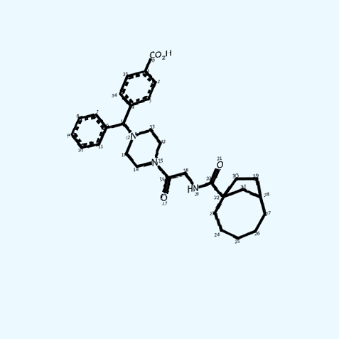 O=C(O)c1ccc(C(c2ccccc2)N2CCN(C(=O)CNC(=O)C34CCCCCC(CC3)C4)CC2)cc1